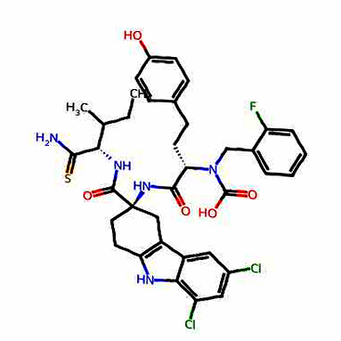 CCC(C)[C@H](NC(=O)[C@@]1(NC(=O)[C@H](CCc2ccc(O)cc2)N(Cc2ccccc2F)C(=O)O)CCc2[nH]c3c(Cl)cc(Cl)cc3c2C1)C(N)=S